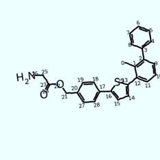 Cc1c(-c2ccccc2)cccc1-c1ccc(-c2ccc(COC(=O)CN)cc2)s1